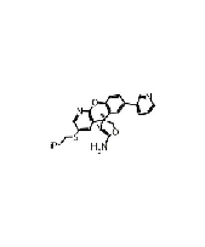 CC(C)CSc1cnc2c(c1)[C@]1(COC(N)=N1)c1cc(-c3cccnc3)ccc1O2